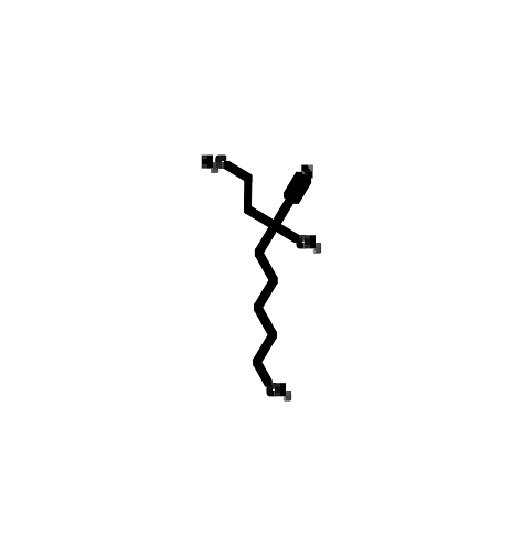 CCCCCCC(C)(C#N)CCC